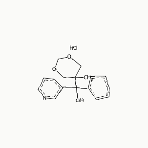 CC1(C(O)(c2ccccc2)c2cccnc2)COCOC1.Cl